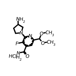 COC(OC)c1cc(C(N)=O)c(F)c(N2CCC(N)C2)n1.Cl